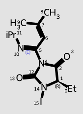 CC[C@@H]1C(=O)N(/C(C=C(C)C)=N/C(C)C)C(=O)N1I